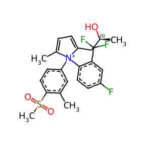 CC1=CC=C(C[C@H](C)O)[N+]1(c1ccc(S(C)(=O)=O)c(C)c1)c1ccc(F)cc1C(F)F